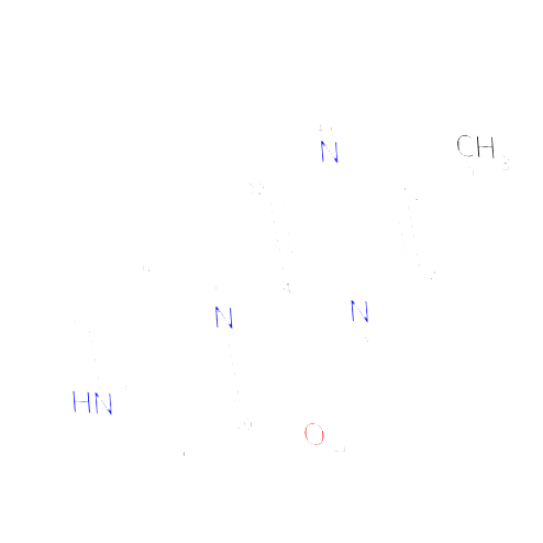 Cc1cnc(N2CCNCC2=O)cn1